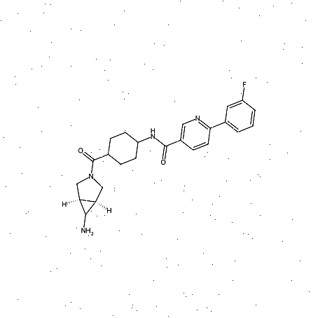 NC1[C@H]2CN(C(=O)C3CCC(NC(=O)c4ccc(-c5cccc(F)c5)nc4)CC3)C[C@@H]12